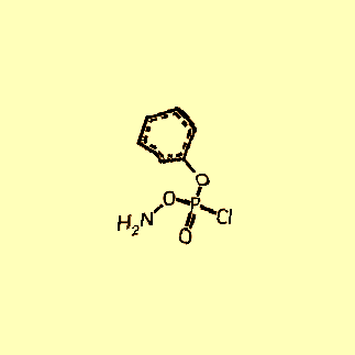 NOP(=O)(Cl)Oc1ccccc1